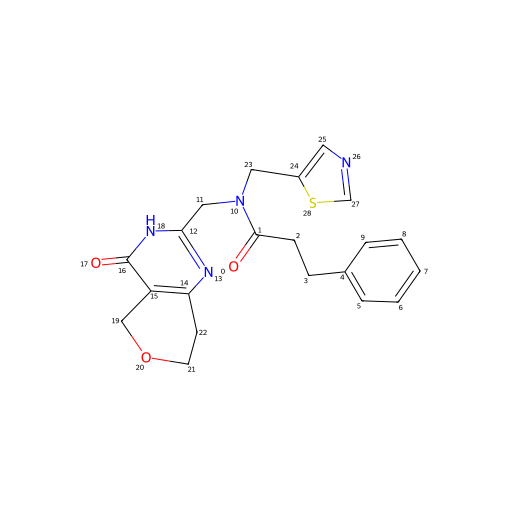 O=C(CCc1ccccc1)N(Cc1nc2c(c(=O)[nH]1)COCC2)Cc1cncs1